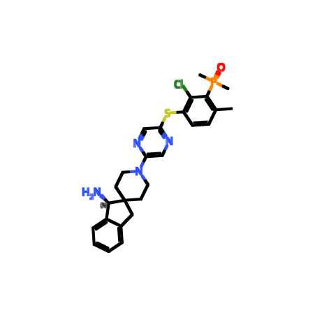 Cc1ccc(Sc2cnc(N3CCC4(CC3)Cc3ccccc3[C@H]4N)cn2)c(Cl)c1P(C)(C)=O